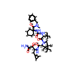 CN(Cc1ccccc1)C(=O)C1(NC(=O)N[C@H](C(=O)N2C[C@H]3[C@@H]([C@H]2C(=O)NC(CC2CC2)C(=O)C(N)=O)C3(C)C)C(C)(C)C)CCCCC1